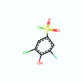 O=S(=O)(Cl)c1cc(F)c(O)c(Cl)c1